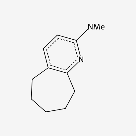 CNc1ccc2c(n1)CCCCC2